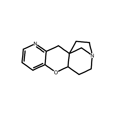 c1cnc2c(c1)OC1CCN3CCC1(C2)C3